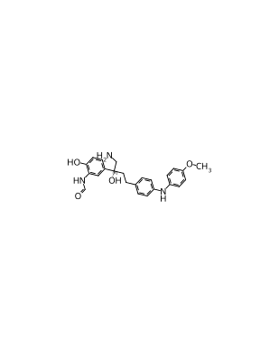 COc1ccc(Nc2ccc(CC[C@](O)(CN)c3ccc(O)c(NC=O)c3)cc2)cc1